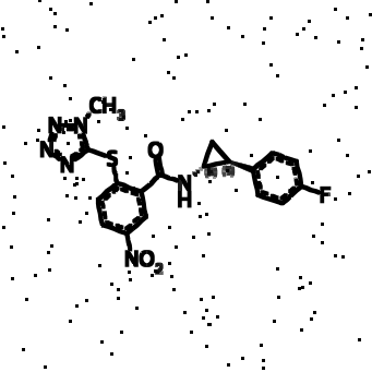 Cn1nnnc1Sc1ccc([N+](=O)[O-])cc1C(=O)N[C@@H]1C[C@H]1c1ccc(F)cc1